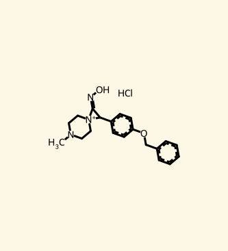 CN1CC[N+]2(CC1)C(=NO)C2c1ccc(OCc2ccccc2)cc1.Cl